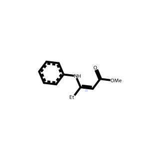 CC/C(=C/C(=O)OC)Nc1ccccc1